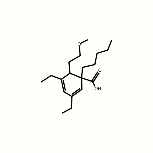 CCCCCC1(C(=O)O)C=C(CC)C=C(CC)C1CCOC